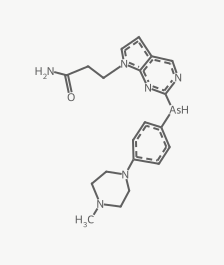 CN1CCN(c2ccc([AsH]c3ncc4ccn(CCC(N)=O)c4n3)cc2)CC1